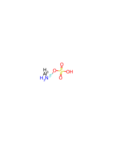 N.O=S(=O)(O)OF.[AlH3]